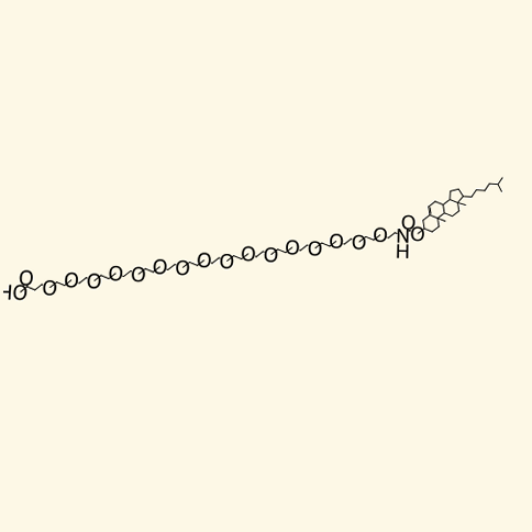 CC(C)CCCCC1CCC2C3CC=C4CC(OC(=O)NCCOCCOCCOCCOCCOCCOCCOCCOCCOCCOCCOCCOCCOCCOCCOCCOCCC(=O)O)CCC4(C)C3CCC12C